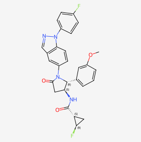 COc1cccc([C@@H]2[C@@H](NC(=O)[C@@H]3C[C@H]3F)CC(=O)N2c2ccc3c(cnn3-c3ccc(F)cc3)c2)c1